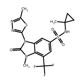 Cc1nnc(-n2c(=O)n(C)c3c(C(F)(F)F)cc(S(=O)(=O)NC4(C)CC4)cc32)s1